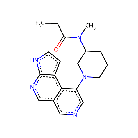 CN(C(=O)CC(F)(F)F)C1CCCN(c2cncc3cnc4[nH]ccc4c23)C1